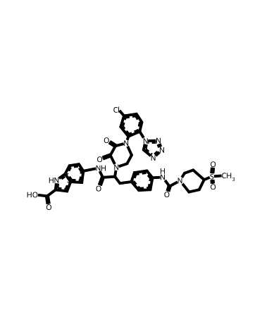 CS(=O)(=O)C1CCN(C(=O)Nc2ccc(CC(C(=O)Nc3ccc4[nH]c(C(=O)O)cc4c3)N3CCN(c4cc(Cl)ccc4-n4cnnn4)C(=O)C3=O)cc2)CC1